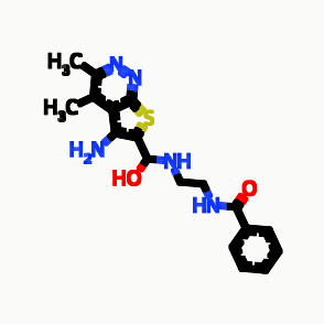 Cc1nnc2sc(C(O)NCCNC(=O)c3ccccc3)c(N)c2c1C